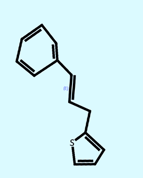 C(=C\c1ccccc1)/Cc1cccs1